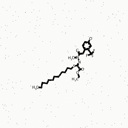 CCCCCCCCCCCCSC(=NN(C)C(=O)Cc1ccc(Cl)cc1C(F)(F)F)C(=O)OCC